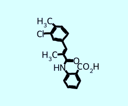 C/C(=C\c1ccc(C)c(Cl)c1)C(=O)Nc1ccccc1C(=O)O